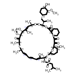 CO[C@@H]1C[C@H](CC(C)[C@@H]2CC[C@H](C)/C=C(\C)[C@@H](O)[C@@H](OC)C(=O)[C@H](C)C[C@H](C)/C=C/C=C/C=C(\C)[C@H](NS(=O)(=O)CC(C)C)C[C@@H]3CC[C@@H](C)[C@@](O)(O3)C(=O)C(=O)N3CCCC[C@H]3C(=O)O2)CC[C@H]1O